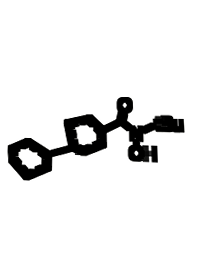 CC(C)(C)N(O)C(=O)c1c[c]c(-c2ccccc2)cc1